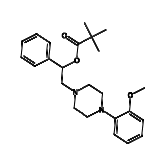 COc1ccccc1N1CCN(CC(OC(=O)C(C)(C)C)c2ccccc2)CC1